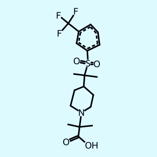 CC(C)(C(=O)O)N1CCC(C(C)(C)S(=O)(=O)c2cccc(C(F)(F)F)c2)CC1